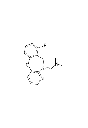 CNC[C@H]1Cc2c(F)cccc2Oc2cccnc21